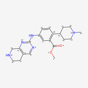 COC(=O)c1cc(Nc2ncc3c(n2)CNCC3)ccc1C1CCN(C)CC1